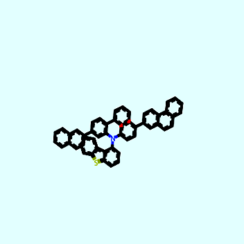 c1ccc(-c2ccc(-c3ccc4ccccc4c3)cc2N(c2ccc(-c3ccc4c(ccc5ccccc54)c3)cc2)c2cccc3sc4ccccc4c23)cc1